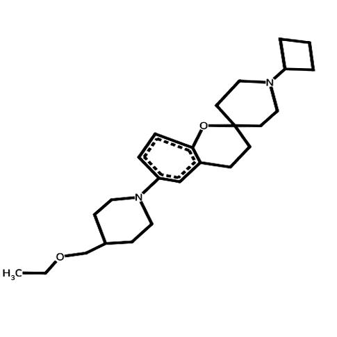 CCOCC1CCN(c2ccc3c(c2)CCC2(CCN(C4CCC4)CC2)O3)CC1